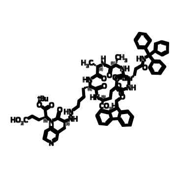 C[C@H](NC(=O)[C@H](C)NC(=O)[C@H](CCC(=O)NC(c1ccccc1)(c1ccccc1)c1ccccc1)NC(=O)OCC1c2ccccc2-c2ccccc21)C(=O)N[C@@H](CCCCNN[C@@H](Cc1cccnc1)C(=O)N[C@@H](CCC(=O)O)C(=O)OC(C)(C)C)C(=O)N[C@@H](CCC(=O)OC(C)(C)C)C(=O)O